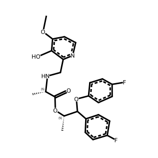 COc1ccnc(CN[C@@H](C)C(=O)O[C@@H](C)C(Oc2ccc(F)cc2)c2ccc(F)cc2)c1O